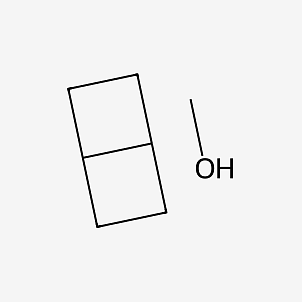 C1CC2CCC12.CO